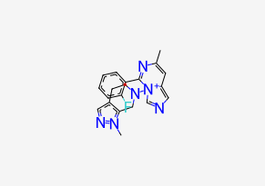 CC1=CC2=CN=C[N+]2(N2CCc3cnn(C)c3C2)C(c2ccccc2F)=N1